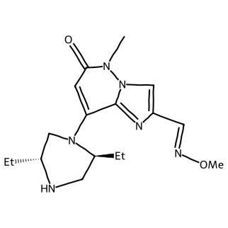 CC[C@@H]1CN(c2cc(=O)n(C)n3cc(C=NOC)nc23)[C@@H](CC)CN1